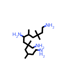 CC(CCN)CC(C)(CN)CC(N)C(C)CC(C)(C)CCN